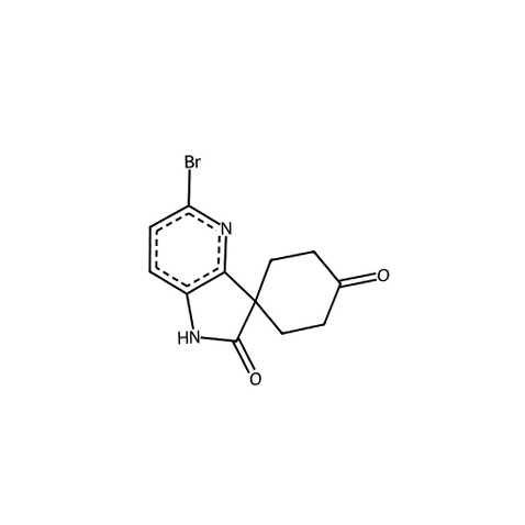 O=C1CCC2(CC1)C(=O)Nc1ccc(Br)nc12